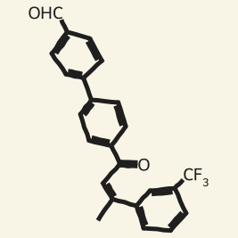 CC(=CC(=O)c1ccc(-c2ccc(C=O)cc2)cc1)c1cccc(C(F)(F)F)c1